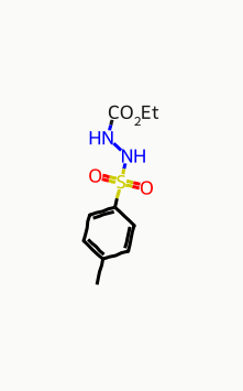 CCOC(=O)NNS(=O)(=O)c1ccc(C)cc1